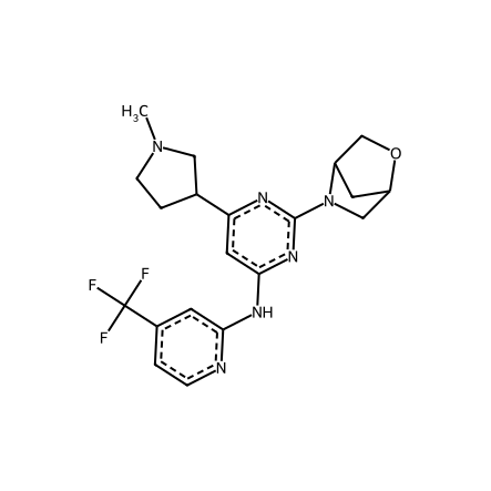 CN1CCC(c2cc(Nc3cc(C(F)(F)F)ccn3)nc(N3CC4CC3CO4)n2)C1